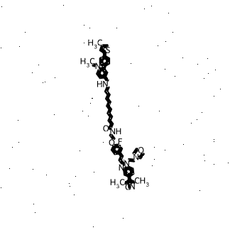 CCn1c2ccc(CNCCCCCCCCCCCC(=O)NCCOc3ccc(CCc4nc5cc(-c6c(C)noc6C)ccc5n4CCN4CCOCC4)cc3F)cc2c2ccc(-c3cc(C)cs3)cc21